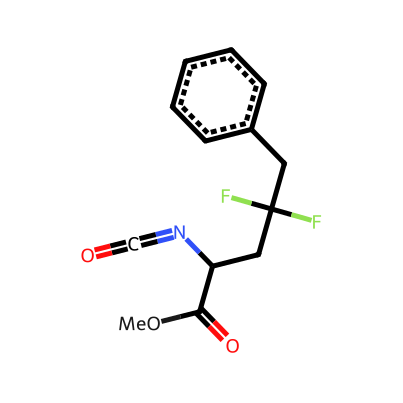 COC(=O)C(CC(F)(F)Cc1ccccc1)N=C=O